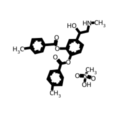 CNCC(O)c1ccc(OC(=O)c2ccc(C)cc2)c(OC(=O)c2ccc(C)cc2)c1.CS(=O)(=O)O